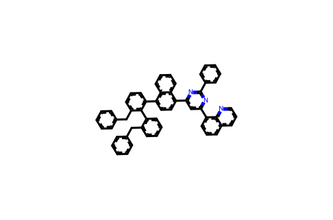 c1ccc(Cc2ccccc2-c2c(Cc3ccccc3)cccc2-c2ccc(-c3cc(-c4cccc5cccnc45)nc(-c4ccccc4)n3)c3ccccc23)cc1